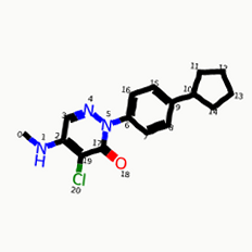 CNc1cnn(-c2ccc(C3CCCC3)cc2)c(=O)c1Cl